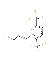 OC/C=C/c1cc(C(F)(F)F)ccc1C(F)(F)F